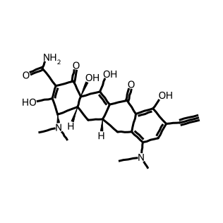 C#Cc1cc(N(C)C)c2c(c1O)C(=O)C1=C(O)[C@@]3(O)C(=O)C(C(N)=O)=C(O)[C@H](N(C)C)[C@H]3C[C@H]1C2